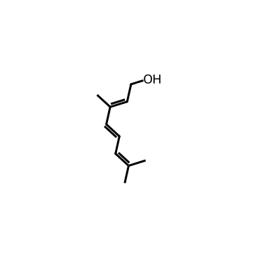 CC(C)=CC=CC(C)=CCO